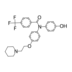 O=C(c1ccc(C(F)(F)F)cc1)N(c1ccc(O)cc1)c1ccc(OCCN2CCCCC2)cc1